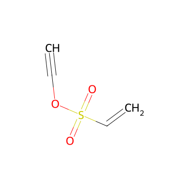 C#COS(=O)(=O)C=C